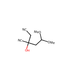 COC(CC(O)(C#N)CC#N)OC